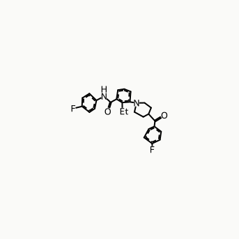 CCc1c(C(=O)Nc2ccc(F)cc2)cccc1N1CCC(C(=O)c2ccc(F)cc2)CC1